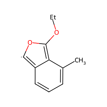 CCOc1o[c]c2cccc(C)c12